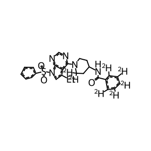 [2H]c1c([2H])c([2H])c(C(=O)NC2CCN(c3ncnc4c3c(CC)cn4S(=O)(=O)c3ccccc3)C([2H])([2H])C2)c([2H])c1[2H]